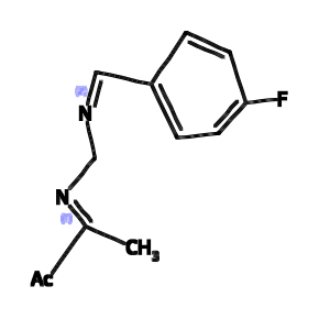 CC(=O)/C(C)=N/C/N=C\c1ccc(F)cc1